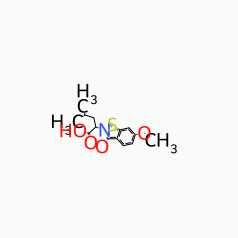 COc1ccc2c(=O)n(C(CC(C)C)C(=O)O)sc2c1